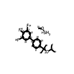 CC(C)OC(C)(C)c1ccc(-c2cc(F)c(F)c(F)c2)cc1.CO[SiH3]